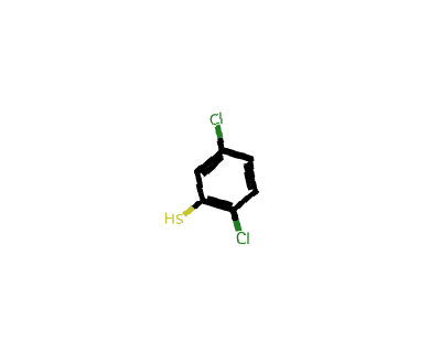 Sc1cc(Cl)ccc1Cl